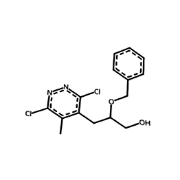 Cc1c(Cl)nnc(Cl)c1CC(CO)OCc1ccccc1